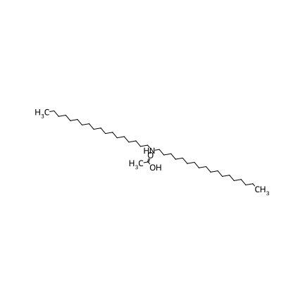 CC(=O)O.CCCCCCCCCCCCCCCCCCNCCCCCCCCCCCCCCCCCC